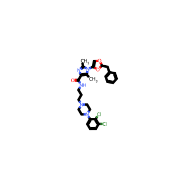 Cc1nc(C(=O)NCCCN2CCN(c3cccc(Cl)c3Cl)CC2)c(C)n1C1=COC(Cc2ccccc2)O1